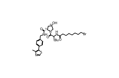 Cc1ncsc1-c1ccc(CNC(=O)[C@@H]2C[C@@H](O)CN2C(=O)C(NC(=O)CCCCCCCBr)C(C)(C)C)cc1